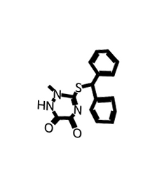 Cn1[nH]c(=O)c(=O)nc1SC(c1ccccc1)c1ccccc1